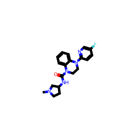 CN1CCC(NC(=O)N2CCN(c3ccc(F)cn3)c3ccccc32)C1